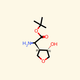 CC(C)(C)OC(=O)C(N)[C@@H]1COC[C@H]1O